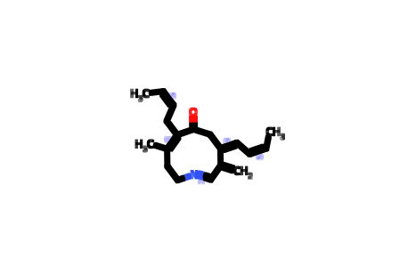 C=C1/C=N/CC/C(C)=C(/C/C=C\C)C(=O)C/C1=C/C=C\C